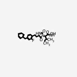 CCC(C)C(C(=O)NO)N1C(=O)NC(CCc2ccc(Cc3ccccc3)cc2F)C1=O